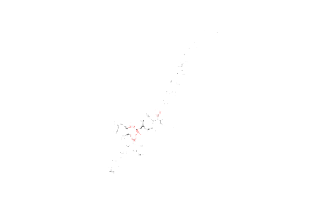 CCCCCCCCCCCCCCCCCCCCOC(C)c1ccc(C(=O)Oc2ccccc2OC(CCC)CCCCCCCC)cc1